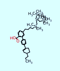 CCCC1CC=C(c2ccc(-c3cc(CCCC[Si](C)(C)CC[Si](C)(C[Si](C)(C)C)C[Si](C)(C)C)ccc3C(=O)O)cc2)CC1